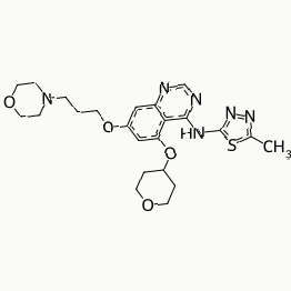 Cc1nnc(Nc2ncnc3cc(OCCCN4CCOCC4)cc(OC4CCOCC4)c23)s1